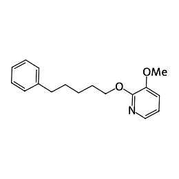 COc1cccnc1OCCCCCc1ccccc1